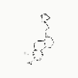 Oc1ccc2c(c1O)CCC1C2CCCN1CCc1cccs1